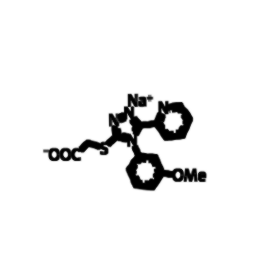 COc1cccc(-n2c(SCC(=O)[O-])nnc2-c2ccccn2)c1.[Na+]